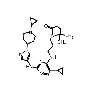 CC1(C)CCC(=O)N1CCCNc1nc(Nc2cnn(C3CCN(C4CC4)CC3)c2)ncc1C1CC1